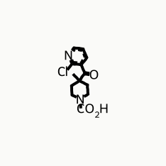 CC1(C(=O)c2cccnc2Cl)CCN(C(=O)O)CC1